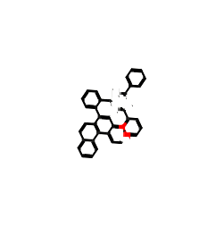 c1ccc(-c2nc(-c3ccccc3)nc(-c3ccccc3-c3cc4cnccc4c4c3ccc3ccccc34)n2)cc1